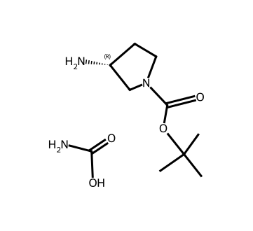 CC(C)(C)OC(=O)N1CC[C@@H](N)C1.NC(=O)O